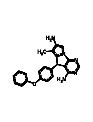 Cc1c(N)cn2c1C(c1ccc(Oc3ccccc3)cc1)c1c(N)ncnc1-2